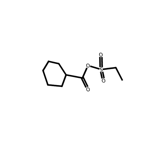 CCS(=O)(=O)OC(=O)C1CCCCC1